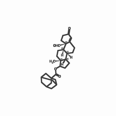 C[C@]12CC[C@@H]3[C@@H](CCC4=CC(=O)CC[C@@]43C=O)[C@@H]1CCC2OC(=O)C12CC3CC(CC(C3)C1)C2